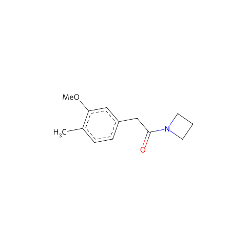 COc1cc(CC(=O)N2CCC2)ccc1C